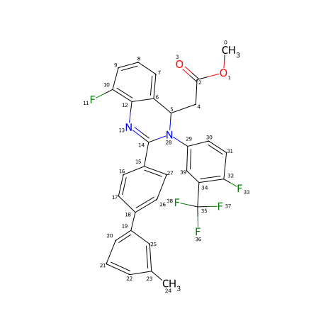 COC(=O)CC1c2cccc(F)c2N=C(c2ccc(-c3cccc(C)c3)cc2)N1c1ccc(F)c(C(F)(F)F)c1